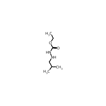 CCOC(=O)NNCC(C)C